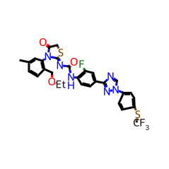 CCOCc1ccc(C)cc1N1C(=O)CS/C1=N\C(=O)Nc1ccc(-c2ncn(-c3ccc(SC(F)(F)F)cc3)n2)cc1F